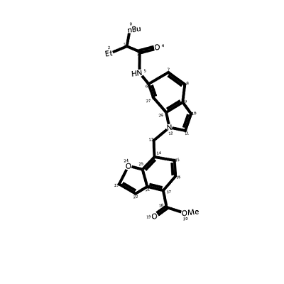 CCCCC(CC)C(=O)Nc1ccc2ccn(Cc3ccc(C(=O)OC)c4ccoc34)c2c1